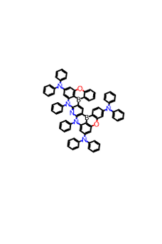 c1ccc(N(c2ccccc2)c2ccc3c(c2)Oc2cc(N(c4ccccc4)c4ccccc4)cc4c2B3c2cc3c(nc2N4c2ccccc2)N(c2ccccc2)c2cc(N(c4ccccc4)c4ccccc4)cc4c2B3c2ccccc2O4)cc1